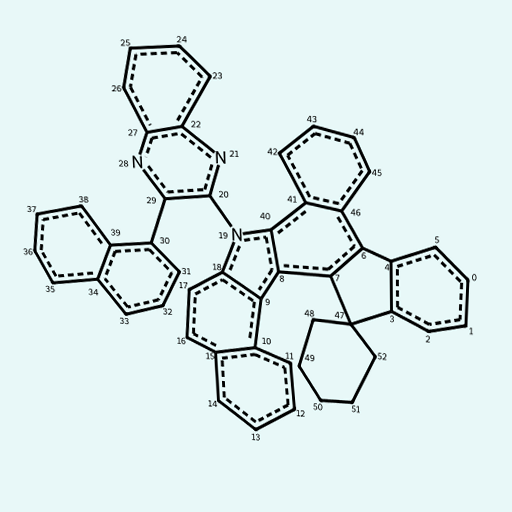 c1ccc2c(c1)-c1c(c3c4c5ccccc5ccc4n(-c4nc5ccccc5nc4-c4cccc5ccccc45)c3c3ccccc13)C21CCCCC1